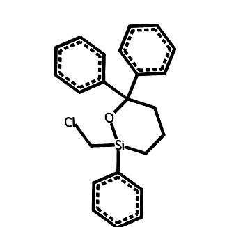 ClC[Si]1(c2ccccc2)CCCC(c2ccccc2)(c2ccccc2)O1